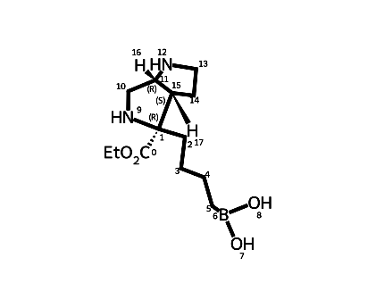 CCOC(=O)[C@]1(CCCCB(O)O)NC[C@@H]2NCC[C@@H]21